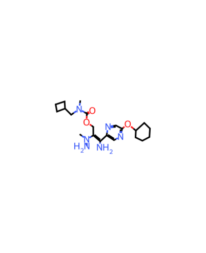 CN(CC1CCC1)C(=O)OC/C(=C(/N)c1cnc(OC2CCCCC2)cn1)N(C)N